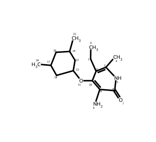 CCc1c(C)[nH]c(=O)c(N)c1OC1CC(C)CC(C)C1